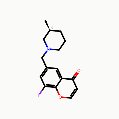 C[C@H]1CCCN(Cc2cc(I)c3occc(=O)c3c2)C1